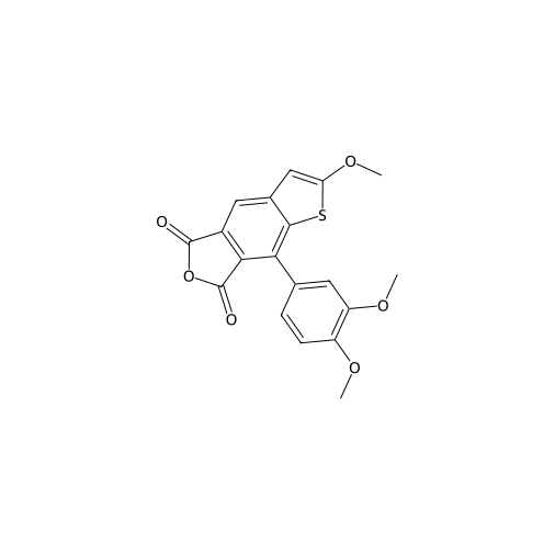 COc1cc2cc3c(c(-c4ccc(OC)c(OC)c4)c2s1)C(=O)OC3=O